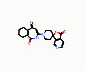 C=C1C=C(N2CCC3(CC2)OC(=O)c2ccncc23)NC(=O)C2=C1CCCC2